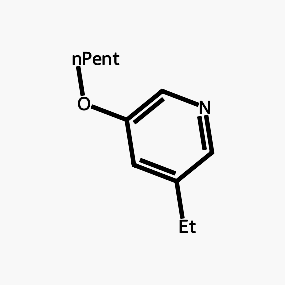 CCCCCOc1cncc(CC)c1